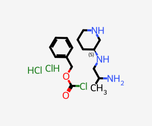 CC(N)CN[C@H]1CCCNC1.Cl.Cl.O=C(Cl)OCc1ccccc1